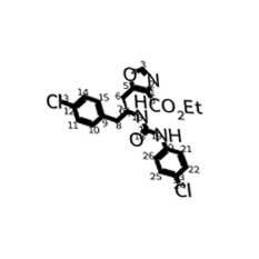 CCOC(=O)c1ncoc1C[C@H](Cc1ccc(Cl)cc1)NC(=O)Nc1ccc(Cl)cc1